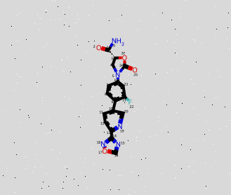 NC(=O)[C@H]1CN(c2ccc(-c3ccc(-c4ncon4)nc3)c(F)c2)C(=O)O1